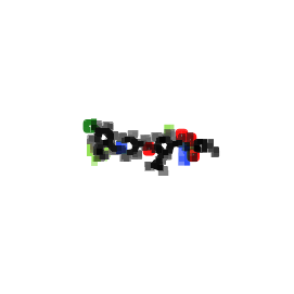 CS(=O)(=O)NC(=O)c1cc(C2CC2)c(OCC2CCN(Cc3ccc(Cl)cc3C(F)(F)F)CC2)cc1F